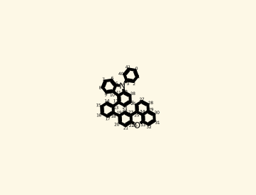 c1ccc(-n2c3ccccc3c3c(-c4ccccc4-c4ccc5c(c4)-c4cccc6cccc(c46)O5)cccc32)cc1